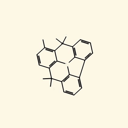 CC1(C)c2ccc(Br)c3c2-n2c4c1cccc4c1cccc(c12)C3(C)C